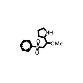 COC(CS(=O)(=O)c1ccccc1)C1CCCN1